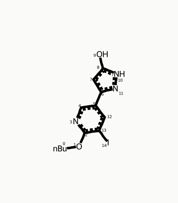 CCCCOc1ncc(-c2cc(O)[nH]n2)cc1I